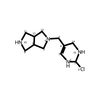 ClC1NC=C(CN2CC3CNCC3C2)CN1